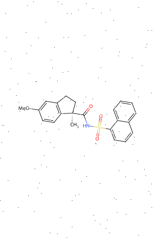 COc1ccc2c(c1)CC[C@@]2(C)C(=O)NS(=O)(=O)c1cccc2ccccc12